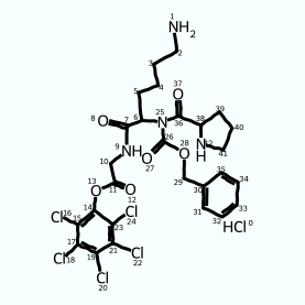 Cl.NCCCCC(C(=O)NCC(=O)Oc1c(Cl)c(Cl)c(Cl)c(Cl)c1Cl)N(C(=O)OCc1ccccc1)C(=O)C1CCCN1